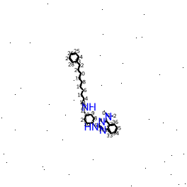 CN(C)c1nc(N[C@H]2CC[C@@H](CNCCCCCCCCCCc3ccccc3)CC2)nc2ccccc12